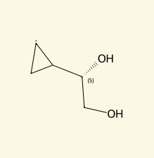 OC[C@@H](O)C1[CH]C1